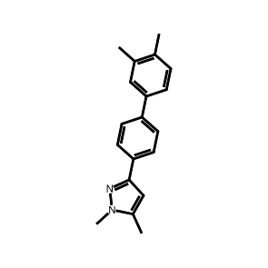 Cc1ccc(-c2ccc(-c3cc(C)n(C)n3)cc2)cc1C